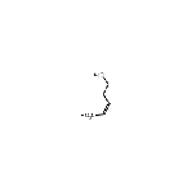 CC(=O)OCC/C=C\C(=O)O